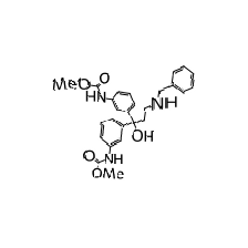 COC(=O)Nc1cccc(C(O)(CCNCc2ccccc2)c2cccc(NC(=O)OC)c2)c1